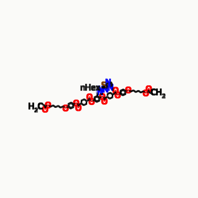 C=CC(=O)OCCCCCCOc1ccc(OC(=O)C2CCC(C(=O)Oc3ccc(OC(=O)C4CCC(C(=O)Oc5ccc(OCCCCCCOC(=O)C=C)cc5)CC4)c(/C=N/N(CCCCCC)c4nc5nccnc5s4)c3)CC2)cc1